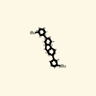 CCC(C)c1cccc(-c2ccc3c(c2)[CH]c2cc(-c4cccc(C(C)CC)c4)ccc2-3)c1